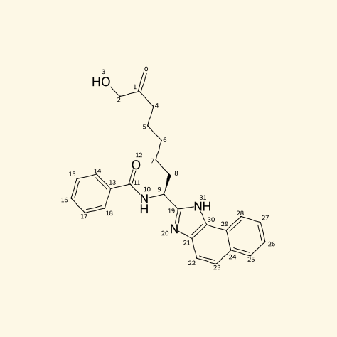 C=C(CO)CCCCC[C@H](NC(=O)c1ccccc1)c1nc2ccc3ccccc3c2[nH]1